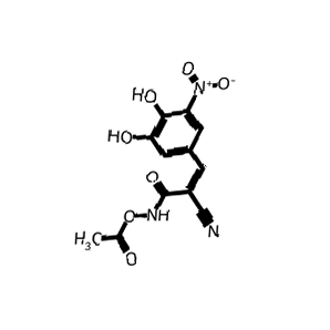 CC(=O)ONC(=O)C(C#N)=Cc1cc(O)c(O)c([N+](=O)[O-])c1